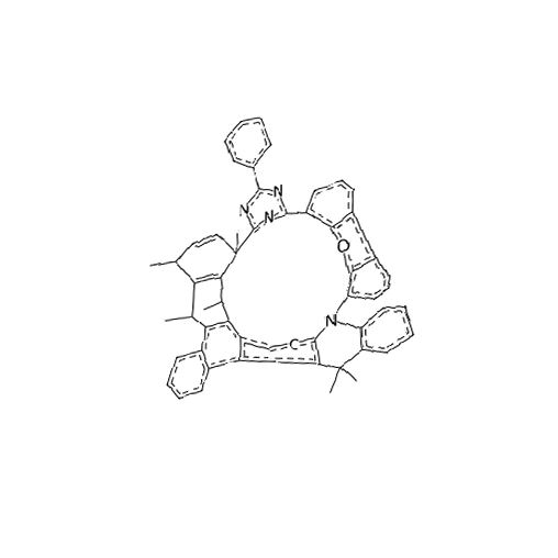 CC1C=CC2(C)C3=C1C(C)c1c(c4ccc5c(c4c4ccccc14)C(C)(C)c1ccccc1N5c1cccc4c1oc1c(cccc14)-c1nc(-c4ccccc4)nc2n1)C3C